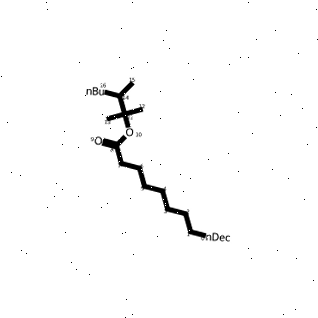 CCCCCCCCCCCCCCCCCC(=O)OC(C)(C)C(C)CCCC